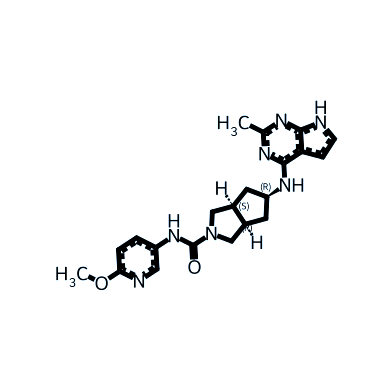 COc1ccc(NC(=O)N2C[C@H]3C[C@@H](Nc4nc(C)nc5[nH]ccc45)C[C@H]3C2)cn1